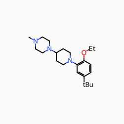 CCOc1ccc(C(C)(C)C)cc1N1CCC(N2CCN(C)CC2)CC1